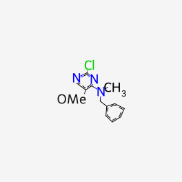 COc1cnc(Cl)nc1N(C)Cc1ccccc1